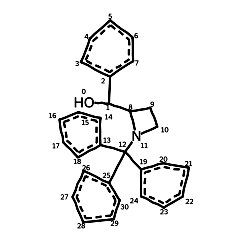 OC(c1ccccc1)C1CCN1C(c1ccccc1)(c1ccccc1)c1ccccc1